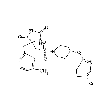 Cc1cccc(CC2(CS(=O)(=O)N3CCC(Oc4ccc(Cl)cn4)CC3)NC(=O)NC2=O)c1